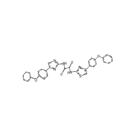 O=C(Nc1nc(-c2ccc(Oc3ccccc3)cc2)cs1)C(=O)Nc1nc(-c2ccc(Oc3ccccc3)cc2)cs1